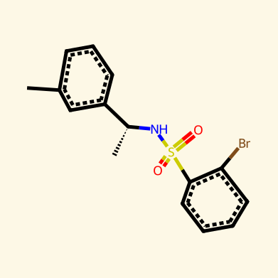 Cc1cccc([C@@H](C)NS(=O)(=O)c2ccccc2Br)c1